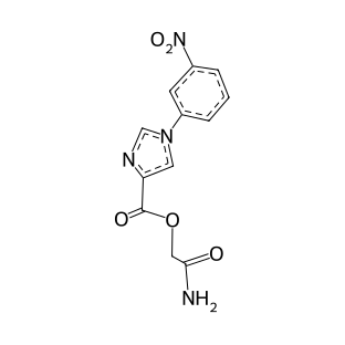 NC(=O)COC(=O)c1cn(-c2cccc([N+](=O)[O-])c2)cn1